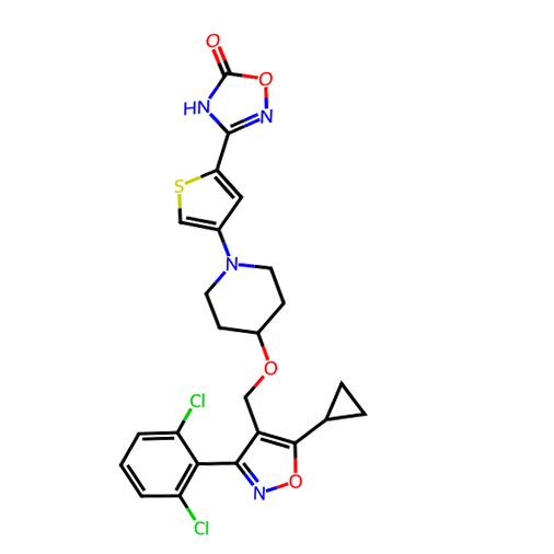 O=c1[nH]c(-c2cc(N3CCC(OCc4c(-c5c(Cl)cccc5Cl)noc4C4CC4)CC3)cs2)no1